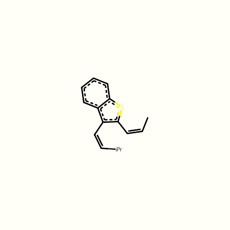 C/C=C\c1sc2ccccc2c1/C=C\C(C)C